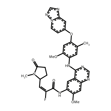 COc1cc2ncnc(Nc3cc(C)c(Oc4ccn5ncnc5c4)cc3OC)c2cc1NC(=O)/C(F)=C\C1CCC(=O)N1C